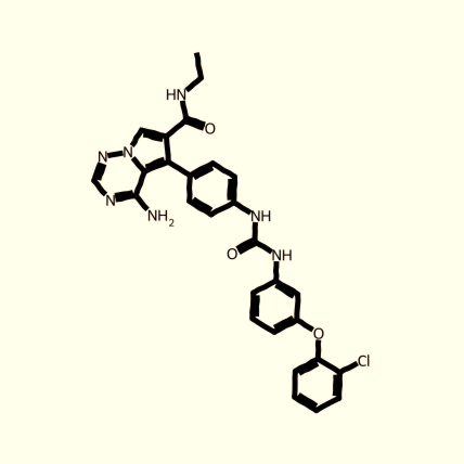 CCNC(=O)c1cn2ncnc(N)c2c1-c1ccc(NC(=O)Nc2cccc(Oc3ccccc3Cl)c2)cc1